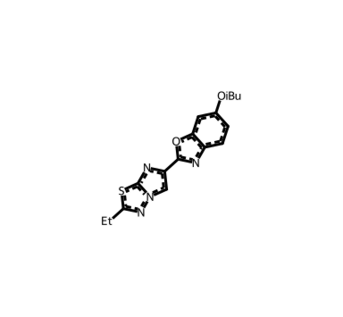 CCc1nn2cc(-c3nc4ccc(OCC(C)C)cc4o3)nc2s1